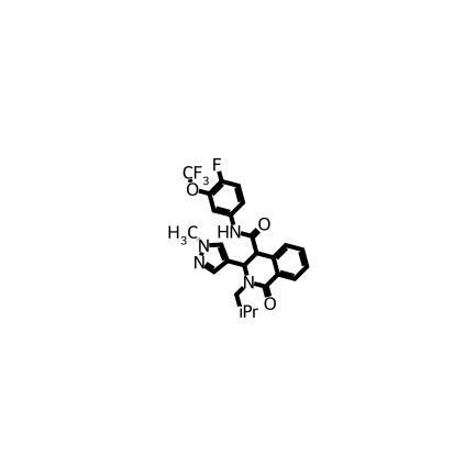 CC(C)CN1C(=O)c2ccccc2C(C(=O)Nc2ccc(F)c(OC(F)(F)F)c2)C1c1cnn(C)c1